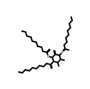 C=C(CCCCCCCCC)OC1C(=C)C(/B=C(\C)CCCCCCCCC)C(C)C(C)C1C(=C)CCCCCCCCC